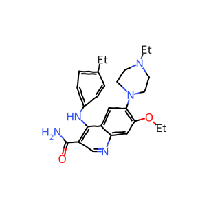 CCOc1cc2ncc(C(N)=O)c(Nc3ccc(CC)cc3)c2cc1N1CCN(CC)CC1